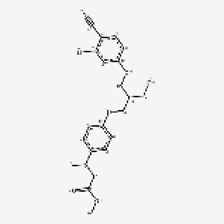 COC(=O)CC(C)c1ccc(OCC(CO)COc2ccc(C#N)c(Cl)c2)cc1